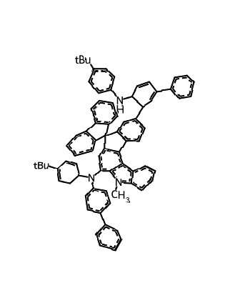 Cn1c2ccccc2c2c3c(cc(N(c4ccc(-c5ccccc5)cc4)C4C=CC(C(C)(C)C)=CC4)c21)C1(c2ccccc2-c2ccccc21)c1cc(C2C=C(c4ccccc4)C=CC2Nc2ccc(C(C)(C)C)cc2)ccc1-3